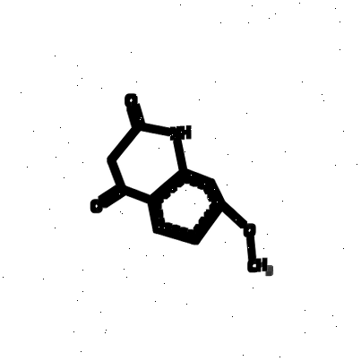 COc1ccc2c(c1)NC(=O)CC2=O